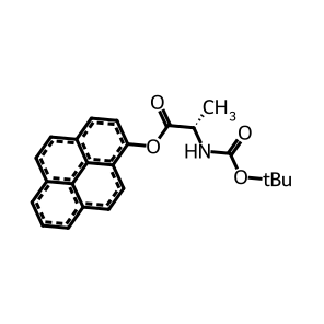 C[C@H](NC(=O)OC(C)(C)C)C(=O)Oc1ccc2ccc3cccc4ccc1c2c34